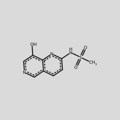 CS(=O)(=O)Nc1ccc2cncc(O)c2n1